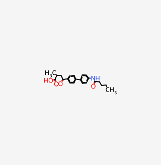 CCCCC(=O)Nc1ccc(-c2ccc(C(=O)CC(C)C(=O)O)cc2)cc1